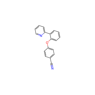 N#Cc1ccc(Oc2ccccc2-c2ccccn2)cc1